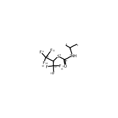 CC(C)NC(=O)SC(C(F)(F)F)C(F)(F)F